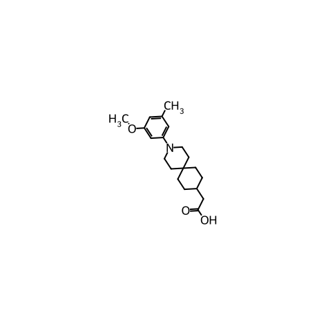 COc1cc(C)cc(N2CCC3(CCC(CC(=O)O)CC3)CC2)c1